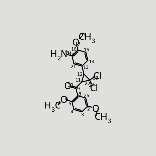 COc1ccc(OC)c(C(=O)C2C(c3ccc(OC)c(N)c3)C2(Cl)Cl)c1